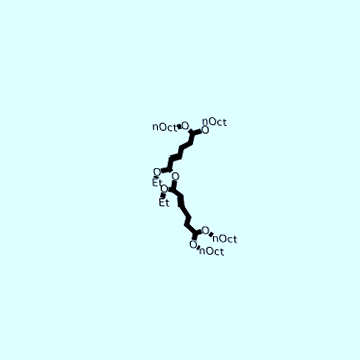 CCCCCCCCOC(CCC=CC(OCC)OC(C=CCCC(OCCCCCCCC)OCCCCCCCC)OCC)OCCCCCCCC